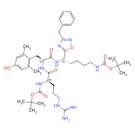 Cc1cc(O)cc(C)c1C[C@H](NC(=O)[C@@H](CCCNC(=N)N)NC(=O)OC(C)(C)C)C(=O)N[C@@H](CCCCNC(=O)OC(C)(C)C)c1nc(Cc2ccccc2)no1